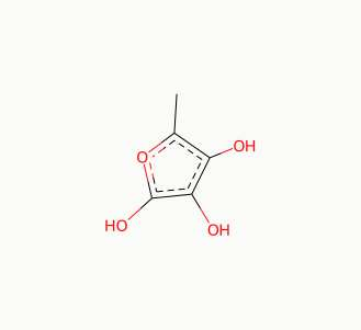 Cc1oc(O)c(O)c1O